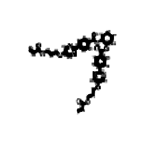 C=CC(=O)OCCCOc1cnc(-c2ccc(C(=O)O[C@@H]3CCCC[C@H]3OC(=O)c3ccc(-c4ncc(OCCCOC(=O)C=C)cn4)cc3)cc2)nc1